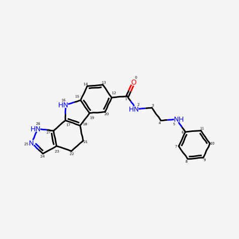 O=C(NCCNc1ccccc1)c1ccc2[nH]c3c(c2c1)CCc1cn[nH]c1-3